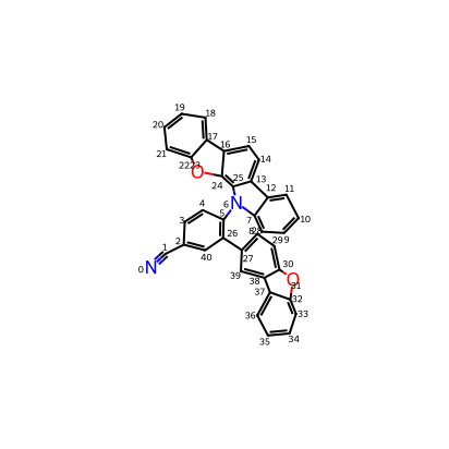 N#Cc1ccc(-n2c3ccccc3c3ccc4c5ccccc5oc4c32)c(-c2ccc3oc4ccccc4c3c2)c1